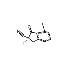 Cc1cccc2c1C(=O)[C@](F)(C#N)C2